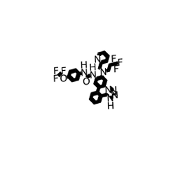 O=C(Nc1ccc(OC(F)(F)F)cc1)Nc1cc(-c2ccccc2-c2nnn[nH]2)ccc1N(CCC(F)(F)F)Cc1ccccn1